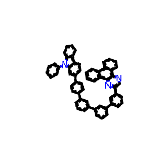 c1ccc(-n2c3ccccc3c3ccc(-c4ccc(-c5cccc(-c6cccc(-c7cccc(-c8cnc9c%10ccccc%10c%10ccccc%10c9n8)c7)c6)c5)cc4)cc32)cc1